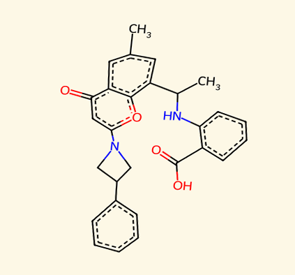 Cc1cc(C(C)Nc2ccccc2C(=O)O)c2oc(N3CC(c4ccccc4)C3)cc(=O)c2c1